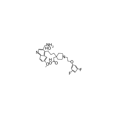 COc1ccc2ncc(CN)c([C@H](O)CCC3(CC(=O)O)CCN(CCOc4cc(F)cc(F)c4)CC3)c2c1